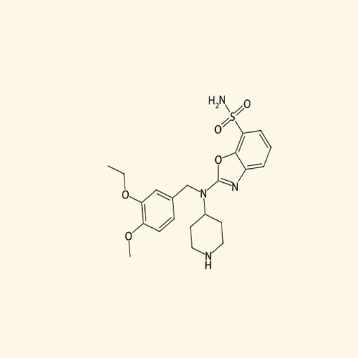 CCOc1cc(CN(c2nc3cccc(S(N)(=O)=O)c3o2)C2CCNCC2)ccc1OC